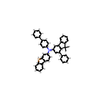 CC1(C)c2ccccc2-c2cc(N(c3ccc(-c4ccccc4)cc3)c3ccc4c(c3)sc3ccccc34)cc(-c3ccccc3)c21